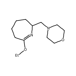 CCOC1=NC(CN2CCOCC2)CCCC1